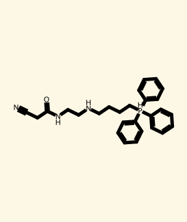 N#CCC(=O)NCCNCCCC[PH](c1ccccc1)(c1ccccc1)c1ccccc1